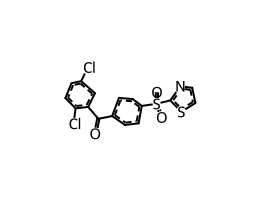 O=C(c1ccc(S(=O)(=O)c2nccs2)cc1)c1cc(Cl)ccc1Cl